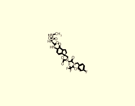 CNS(=O)(=O)NC(=O)NC1=CC=C2C(CC[C@]23CN(CC(=O)N(Cc2ccc(F)cc2)C(C)C(F)(F)F)C(=O)O3)C1=O